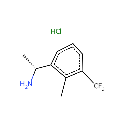 Cc1c([C@@H](C)N)cccc1C(F)(F)F.Cl